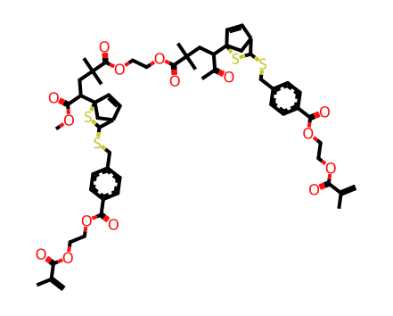 C=C(C)C(=O)OCCOC(=O)c1ccc(CSC2SC3(C(CC(C)(C)C(=O)OCCOC(=O)C(C)(C)CC(C(=O)OC)C45C=CC(C4)C(SCc4ccc(C(=O)OCCOC(=O)C(=C)C)cc4)S5)C(C)=O)C=CC2C3)cc1